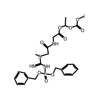 CC(OC(=O)CNC(=O)CN(C)C(=N)NP(=O)(OCc1ccccc1)OCc1ccccc1)OC(=O)OI